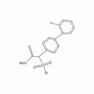 CCS(=O)(=O)C(C(=O)OC)c1ccc(-c2ccccc2F)cc1